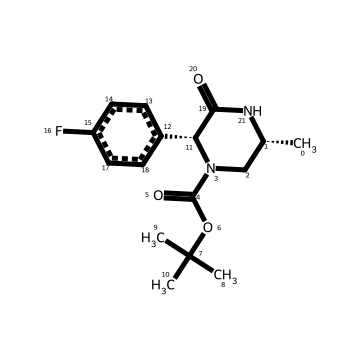 C[C@@H]1CN(C(=O)OC(C)(C)C)[C@H](c2ccc(F)cc2)C(=O)N1